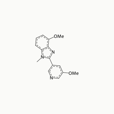 COc1cncc(-c2nc3c(OC)cccc3n2C)c1